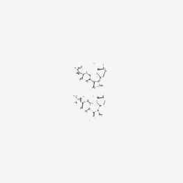 Cc1onc(-c2ccc(Br)c(Br)c2)c1-c1ccc(S(N)(=O)=O)c(F)c1.Cc1onc(-c2ccc(F)c(F)c2)c1-c1ccc(S(N)(=O)=O)c(F)c1